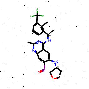 Cc1nc(N[C@H](C)c2cccc(C(F)(F)F)c2C)c2cc(N[C@H]3CCOC3)c(P=O)cc2n1